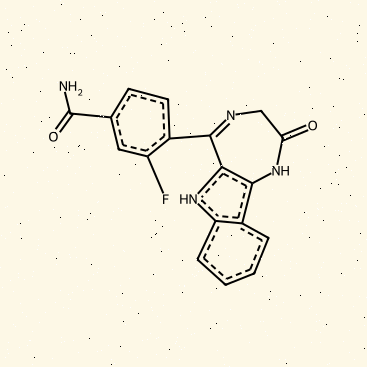 NC(=O)c1ccc(C2=NCC(=O)Nc3c2[nH]c2ccccc32)c(F)c1